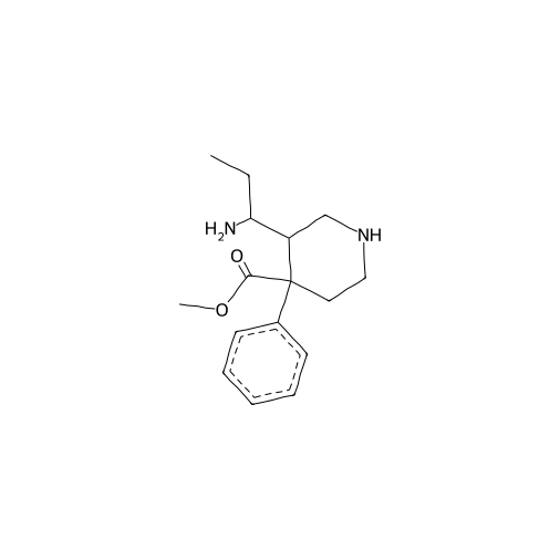 CCC(N)C1CNCCC1(C(=O)OC)c1ccccc1